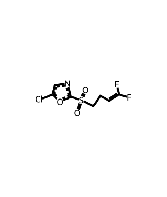 O=S(=O)(CCC=C(F)F)c1ncc(Cl)o1